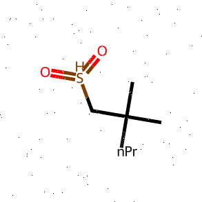 CCCC(C)(C)C[SH](=O)=O